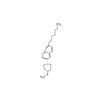 CCCCCCCc1ccc2cc([C@H]3CC[C@H](CC)CC3)ccc2c1